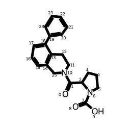 O=C(C1CCCN1C(=O)O)N1CCc2c(cccc2-c2ccccc2)C1